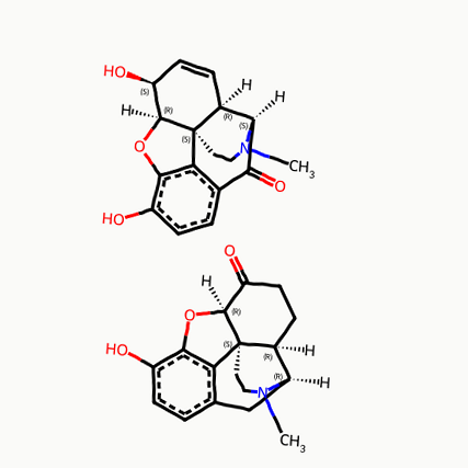 CN1CC[C@]23c4c5ccc(O)c4O[C@H]2C(=O)CC[C@H]3[C@H]1C5.CN1CC[C@]23c4c5ccc(O)c4O[C@H]2[C@@H](O)C=C[C@H]3[C@H]1C5=O